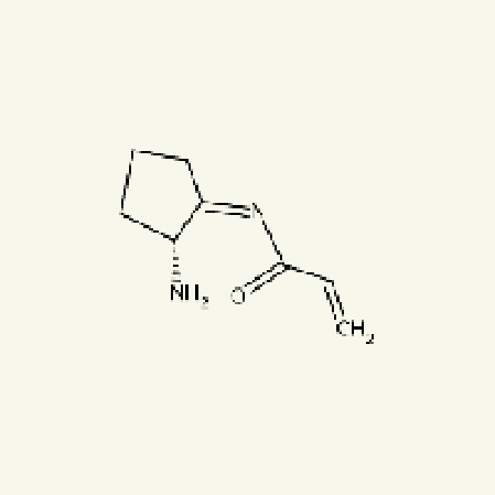 C=CC(=O)/N=C1/CCC[C@H]1N